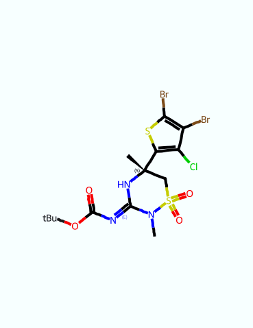 CN1/C(=N/C(=O)OC(C)(C)C)N[C@](C)(c2sc(Br)c(Br)c2Cl)CS1(=O)=O